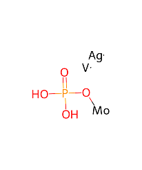 O=P(O)(O)[O][Mo].[Ag].[V]